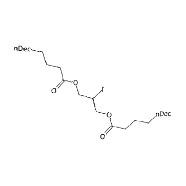 CCCCCCCCCCCCCC(=O)OCC(I)COC(=O)CCCCCCCCCCCCC